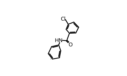 O=C(Nc1cc[c]cc1)c1cccc(Cl)c1